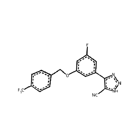 N#Cc1[nH]nnc1-c1cc(F)cc(OCc2ccc(C(F)(F)F)cc2)c1